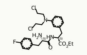 CCOC(=O)[C@H](Cc1cccc(N(CCCl)CCCl)c1)NC(=O)[C@@H](N)Cc1ccc(F)cc1